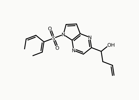 C=CCC(O)c1cnc2c(ccn2S(=O)(=O)C(/C=C\C)=C/C)n1